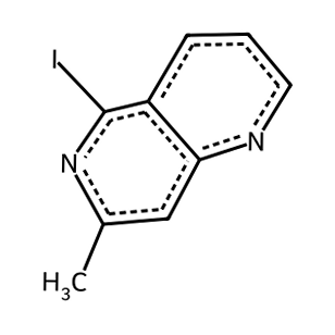 Cc1cc2ncccc2c(I)n1